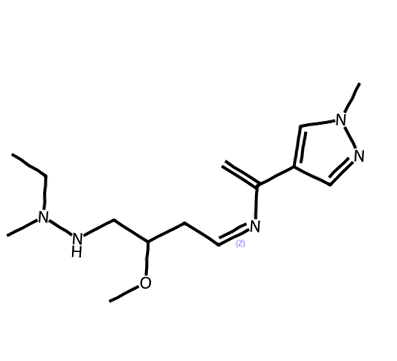 C=C(/N=C\CC(CNN(C)CC)OC)c1cnn(C)c1